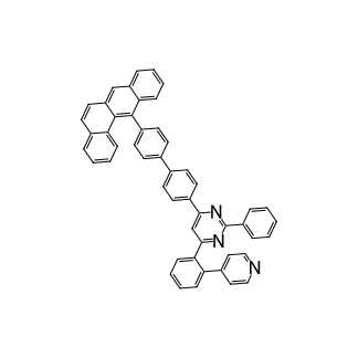 c1ccc(-c2nc(-c3ccc(-c4ccc(-c5c6ccccc6cc6ccc7ccccc7c56)cc4)cc3)cc(-c3ccccc3-c3ccncc3)n2)cc1